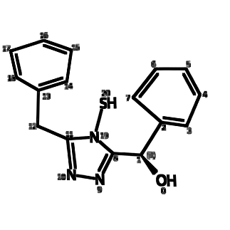 O[C@H](c1ccccc1)c1nnc(Cc2ccccc2)n1S